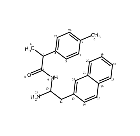 Cc1ccc(C(C)C(=O)NC(N)Cc2ccc3ccccc3c2)cc1